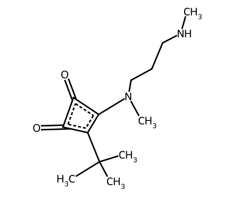 CNCCCN(C)c1c(C(C)(C)C)c(=O)c1=O